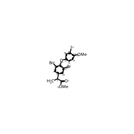 COC(=O)C(C)c1cc(Br)c(Oc2ccc(OC)c(I)c2)c(Br)c1